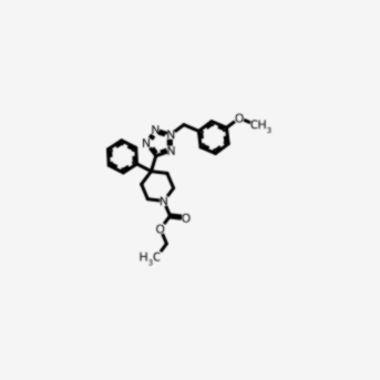 CCOC(=O)N1CCC(c2ccccc2)(c2nnn(Cc3cccc(OC)c3)n2)CC1